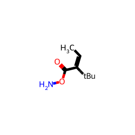 CC=C(C(=O)ON)C(C)(C)C